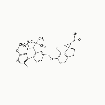 COc1cc(-c2ccc(COc3ccc4c(c3F)[C@]3(CC4)C[C@H]3C(=O)O)cc2[C@H](OC)C(C)(C)C)c(F)cn1